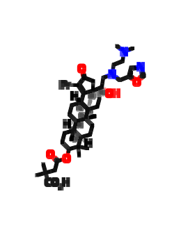 CC(C)C1=C2[C@H]3CC[C@@H]4[C@@]5(C)CCC(OC(=O)CC(C)(C)C(=O)O)C(C)(C)[C@@H]5CC[C@@]4(C)[C@]3(C)CC[C@@]2([C@@H](O)CN(CCN(C)C)Cc2cnco2)CC1=O